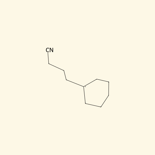 N#CCCC[C]1CCCCC1